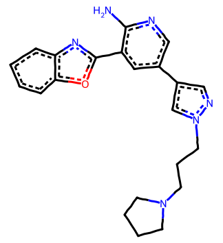 Nc1ncc(-c2cnn(CCCN3CCCC3)c2)cc1-c1nc2ccccc2o1